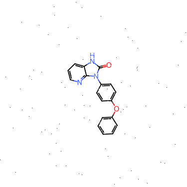 O=c1[nH]c2cccnc2n1-c1ccc(Oc2ccccc2)cc1